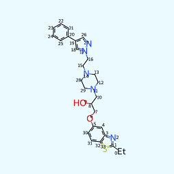 CCc1nc2cc(OCC(O)CN3CCN(CCn4cc(-c5ccccc5)cn4)CC3)ccc2s1